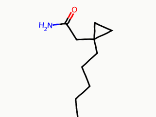 CCCCCC1(CC(N)=O)CC1